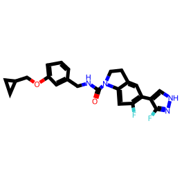 O=C(NCc1cccc(OCC2CC2)c1)N1CCc2cc(-c3c[nH]nc3F)c(F)cc21